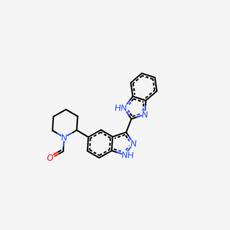 O=CN1CCCCC1c1ccc2[nH]nc(-c3nc4ccccc4[nH]3)c2c1